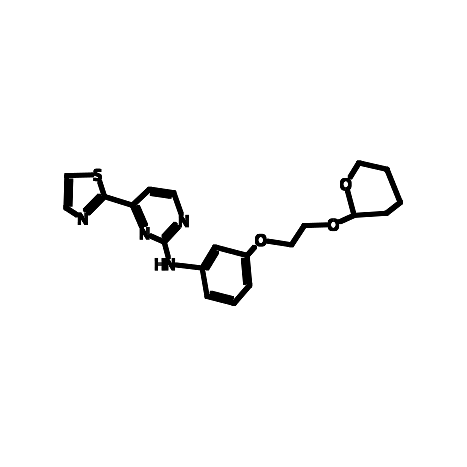 c1cc(Nc2nccc(-c3nccs3)n2)cc(OCCOC2CCCCO2)c1